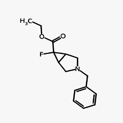 CCOC(=O)C1(F)C2CN(Cc3ccccc3)CC21